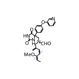 C=C(/C=C\C(=C/C)OC)CN(C=O)C[C@@]1(c2ccc(Oc3cccnc3)cc2)NC(=O)NC1=O